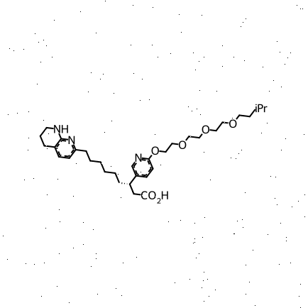 CC(C)CCOCCOCCOCCOc1ccc([C@@H](CCCCCCc2ccc3c(n2)NCCC3)CC(=O)O)cn1